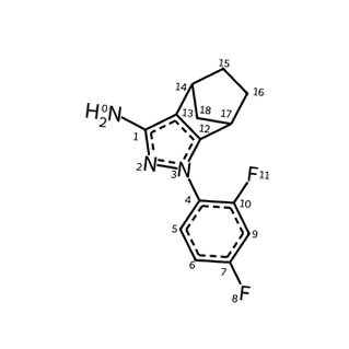 Nc1nn(-c2ccc(F)cc2F)c2c1C1CCC2C1